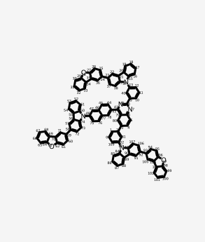 c1cc(-c2ccc3nc(-c4cccc(-n5c6ccccc6c6cc(-c7ccc8oc9ccccc9c8c7)ccc65)c4)nc(-c4ccc5cc(-n6c7ccccc7c7cc(-c8ccc9oc%10ccccc%10c9c8)ccc76)ccc5c4)c3c2)cc(-n2c3ccccc3c3cc(-c4ccc5oc6ccccc6c5c4)ccc32)c1